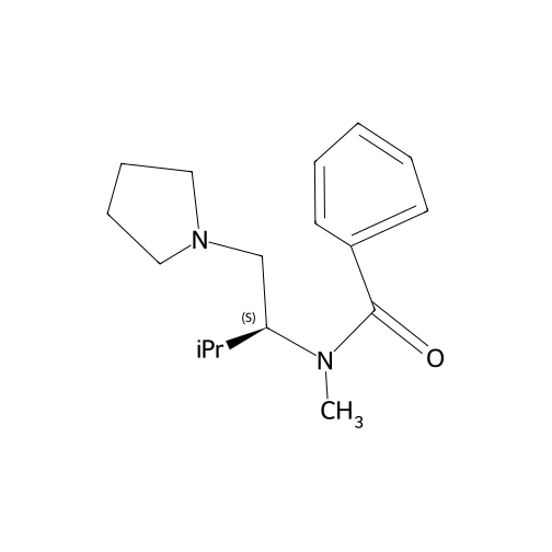 CC(C)[C@@H](CN1CCCC1)N(C)C(=O)c1ccccc1